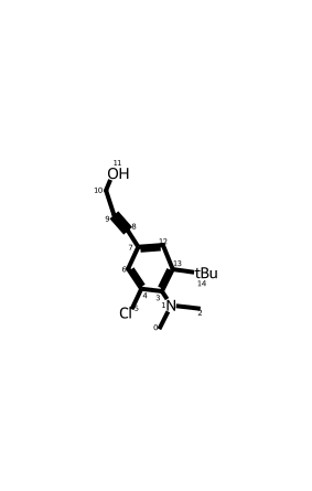 CN(C)c1c(Cl)cc(C#CCO)cc1C(C)(C)C